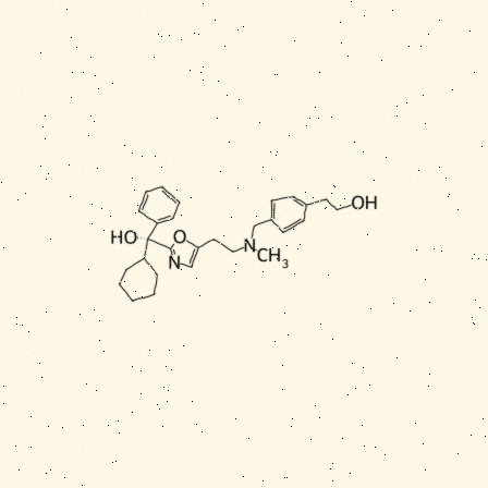 CN(CCc1cnc([C@](O)(c2ccccc2)C2CCCCC2)o1)Cc1ccc(CCO)cc1